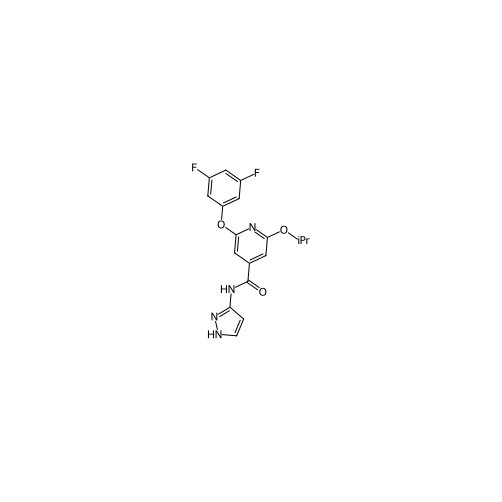 CC(C)Oc1cc(C(=O)Nc2cc[nH]n2)cc(Oc2cc(F)cc(F)c2)n1